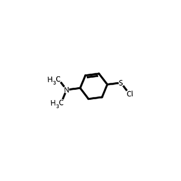 CN(C)C1C=CC(SCl)CC1